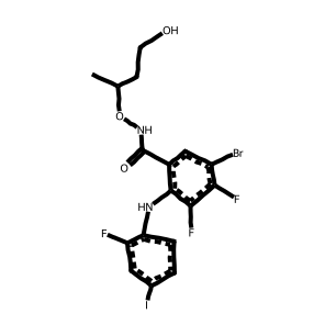 CC(CCO)ONC(=O)c1cc(Br)c(F)c(F)c1Nc1ccc(I)cc1F